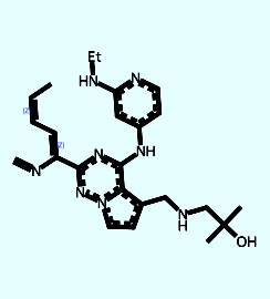 C=N/C(=C\C=C/C)c1nc(Nc2ccnc(NCC)c2)c2c(CNCC(C)(C)O)ccn2n1